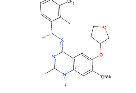 COc1cc2c(cc1OC1CCOC1)/c(=N/[C@H](C)c1cccc(C(F)(F)F)c1C)nc(C)n2C